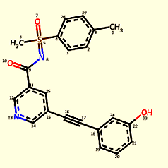 Cc1ccc(S(C)(=O)=NC(=O)c2cncc(C#Cc3cccc(O)c3)c2)cc1